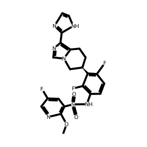 COc1ncc(F)cc1S(=O)(=O)Nc1ccc(F)c([C@@H]2CCc3c(-c4ncc[nH]4)ncn3C2)c1F